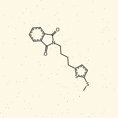 CSc1ccc(CCCCN2C(=O)c3ccccc3C2=O)s1